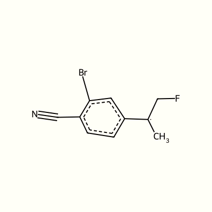 C[C](CF)c1ccc(C#N)c(Br)c1